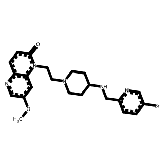 COc1cnc2ccc(=O)n(CCN3CCC(NCc4ccc(Br)cn4)CC3)c2c1